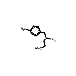 COCCN(C)Cc1ccc(N)cc1